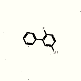 Fc1ccc(S)cc1-c1ccccc1